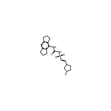 CN1CCC(/C=N/S(=O)(=O)NC(=O)Nc2c3c(cc4c2CCC4)CCC3)C1